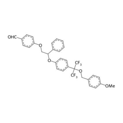 COc1ccc(COC(c2ccc(OC(COc3ccc(C=O)cc3)c3ccccc3)cc2)(C(F)(F)F)C(F)(F)F)cc1